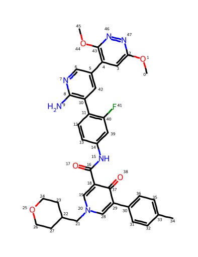 COc1cc(-c2cnc(N)c(-c3ccc(NC(=O)c4cn(CC5CCOCC5)cc(-c5ccc(C)cc5)c4=O)cc3F)c2)c(OC)nn1